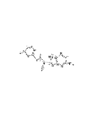 O=C(NCc1cccc(F)c1)c1cc2cc(F)ccc2[nH]1